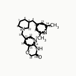 Cc1cc(CC2CCCN(Cc3cnc4c(c3)OCC(=O)N4)C2)cc(C)n1